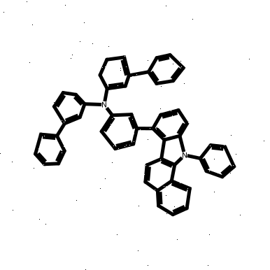 C1=C(c2ccccc2)C=C(N(c2cccc(-c3ccccc3)c2)c2cccc(-c3cccc4c3c3ccc5ccccc5c3n4-c3ccccc3)c2)CC1